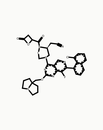 N#CC[C@H]1CN(c2nc(OCC34CCCN3CCC4)nc3c(F)c(-c4cccc5cccc(Cl)c45)ncc23)CCN1C(=O)C1CC(=O)O1